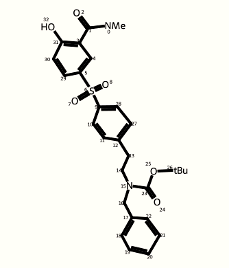 CNC(=O)c1cc(S(=O)(=O)c2ccc(CCN(Cc3ccccc3)C(=O)OC(C)(C)C)cc2)ccc1O